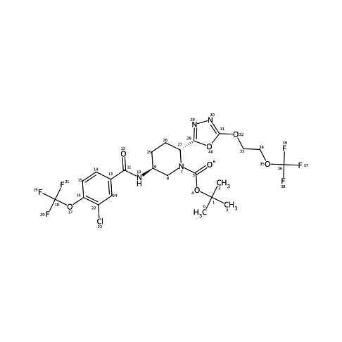 CC(C)(C)OC(=O)N1C[C@@H](NC(=O)c2ccc(OC(F)(F)F)c(Cl)c2)CC[C@@H]1c1nnc(OCCOC(F)(F)F)o1